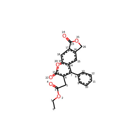 CCOC(=O)Cc1c(-c2ccccc2)c2cc3c(cc2oc1=O)C(=O)OC3